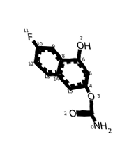 NC(=O)Oc1cc(O)c2cc(F)ccc2c1